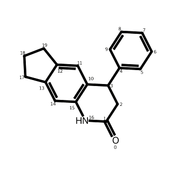 O=C1CC(c2ccccc2)c2cc3c(cc2N1)CCC3